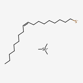 CCCCCCCC/C=C\CCCCCCCC[S-].[CH3][Sn+]([CH3])[CH3]